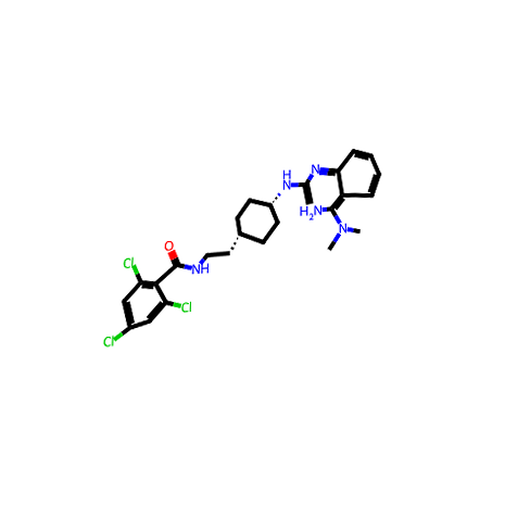 C=C(/N=C1/C=CC=C/C1=C(/N)N(C)C)N[C@H]1CC[C@@H](CCNC(=O)c2c(Cl)cc(Cl)cc2Cl)CC1